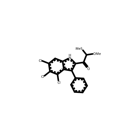 COC(SC)C(=O)c1[nH]c2cc(Cl)c(Cl)c(Cl)c2c1-c1ccccc1